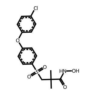 CC(C)(CS(=O)(=O)c1ccc(Oc2ccc(Cl)cc2)cc1)C(=O)NO